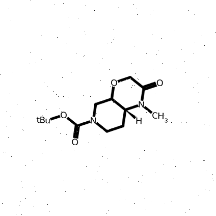 CN1C(=O)COC2CN(C(=O)OC(C)(C)C)CC[C@H]21